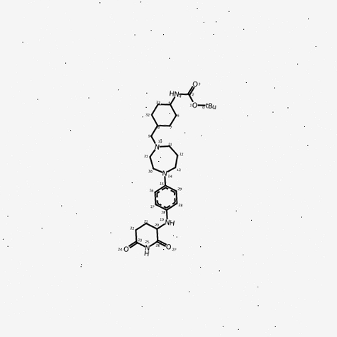 CC(C)(C)OC(=O)NC1CCC(CN2CCCN(c3ccc(NC4CCC(=O)NC4=O)cc3)CC2)CC1